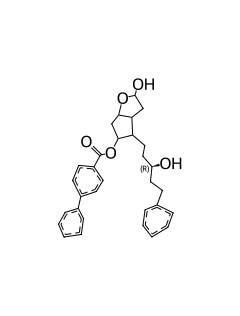 O=C(OC1CC2OC(O)CC2C1CC[C@@H](O)CCc1ccccc1)c1ccc(-c2ccccc2)cc1